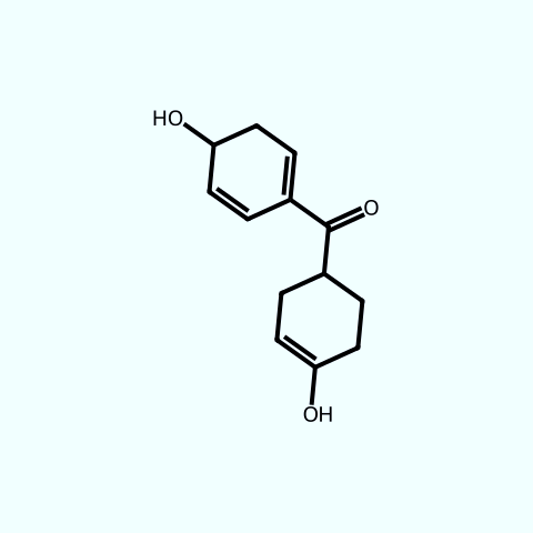 O=C(C1=CCC(O)C=C1)C1CC=C(O)CC1